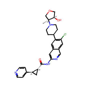 C[C@]1(N2CCC(c3cc4cc(NC(=O)[C@@H]5C[C@H]5c5ccncc5)ncc4cc3Cl)CC2)COC[C@H]1O